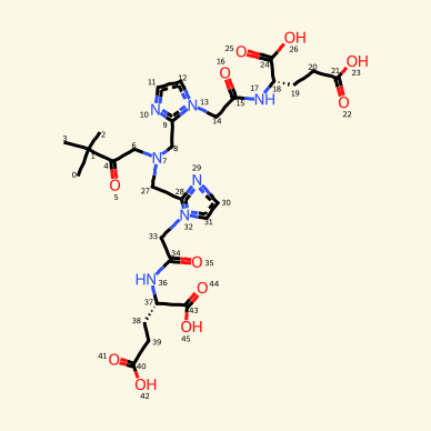 CC(C)(C)C(=O)CN(Cc1nccn1CC(=O)N[C@@H](CCC(=O)O)C(=O)O)Cc1nccn1CC(=O)N[C@@H](CCC(=O)O)C(=O)O